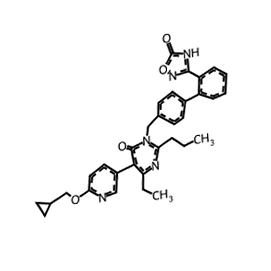 CCCc1nc(CC)c(-c2ccc(OCC3CC3)nc2)c(=O)n1Cc1ccc(-c2ccccc2-c2noc(=O)[nH]2)cc1